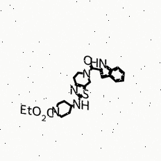 CCOC(=O)N1CCC(Nc2nc3c(s2)CN(C(=O)c2cc4ccccc4[nH]2)CC3)CC1